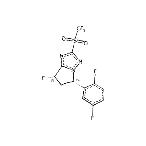 O=S(=O)(c1nc2n(n1)[C@H](c1cc(F)ccc1F)C[C@@H]2F)C(F)(F)F